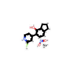 O=N[O-].Oc1c(-c2ccnc(F)c2)ccc2c1CCC2.[Na+]